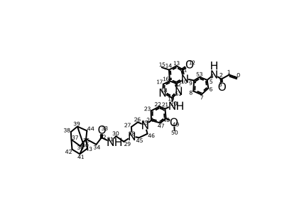 C=CC(=O)Nc1cccc(-n2c(=O)cc(C)c3cnc(Nc4ccc(N5CCN(CCNC(=O)CC67CC8CC(CC(C8)C6)C7)CC5)cc4OC)nc32)c1